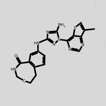 Cc1csc2c(-n3nc(Nc4ccc5c(c4)C(=O)NCCCC5)nc3N)ncnc12